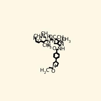 C#C/C=C\C=C(/C)[C@@H](CN(C)C)NC(=O)N1Cc2c(NC(=O)c3ccc(C4CCN(C(=O)C=C)C4)cc3)nn(C)c2C1(C)C